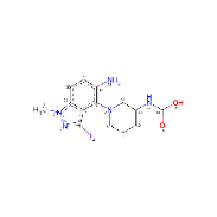 Cn1nc(I)c2c(N3CCCC(NC(=O)O)C3)c(N)ccc21